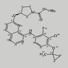 CC(C)(C)OC(=O)N1CC[C@H](Oc2ccc3ncnc(Nc4ccc(OC5(C)CC5)c(Cl)c4F)c3n2)C1